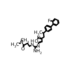 CC(Cc1cc(N=C(N)NCCC(=O)N(C)C)on1)c1ccc(-c2ccccc2F)cc1